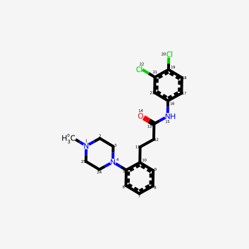 CN1CCN(c2ccccc2CCC(=O)Nc2ccc(Cl)c(Cl)c2)CC1